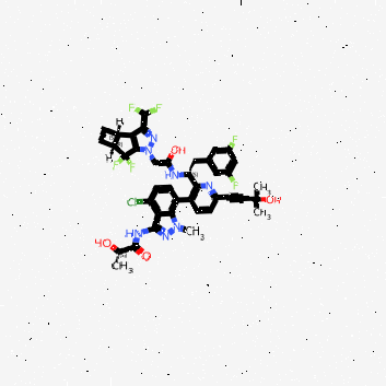 C[C@H](O)C(=O)Nc1nn(C)c2c(-c3ccc(C#CC(C)(C)O)nc3[C@H](Cc3cc(F)cc(F)c3)NC(O)Cn3nc(C(F)F)c4c3C(F)(F)[C@@H]3CC[C@H]43)ccc(Cl)c12